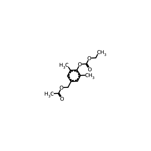 CCOC(=O)Oc1c(C)cc(COC(C)=O)cc1C